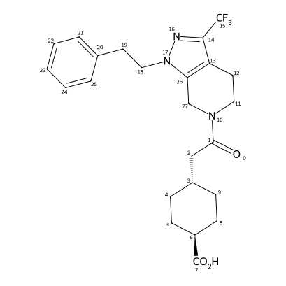 O=C(C[C@H]1CC[C@H](C(=O)O)CC1)N1CCc2c(C(F)(F)F)nn(CCc3ccccc3)c2C1